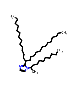 CCCCCCCCCCCCCC(CCCCCCCCCCCCC)c1nccn1C(C)CCCCCCCCC